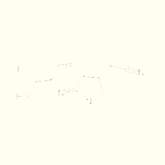 CC(C)c1ccc2c(n1)N=CC2CC#N